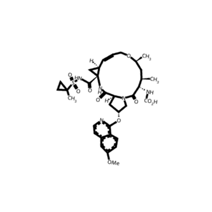 COc1ccc2c(O[C@@H]3C[C@H]4C(=O)N[C@]5(C(=O)NS(=O)(=O)C6(C)CC6)C[C@H]5/C=C\CO[C@@H](C)C[C@@H](C)[C@H](NC(=O)O)C(=O)N4C3)nccc2c1